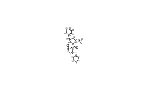 O=C1OC[C@@H](Cc2ccccc2)N1C(=O)[C@@H]1CN(Cc2ccccc2)C[C@@H]1C1CC1